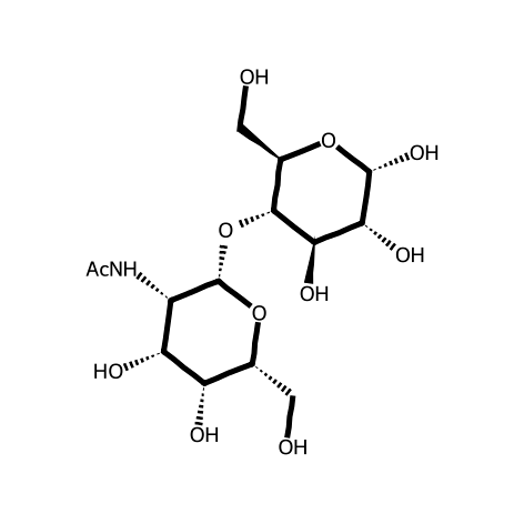 CC(=O)N[C@@H]1[C@H](O[C@H]2[C@H](O)[C@@H](O)[C@@H](O)O[C@@H]2CO)O[C@H](CO)[C@H](O)[C@@H]1O